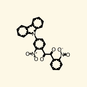 O=C(C(=O)c1ccc(-n2c3ccccc3c3ccccc32)cc1[N+](=O)[O-])c1ccccc1[N+](=O)[O-]